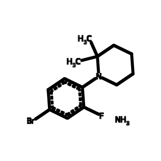 CC1(C)CCCCN1c1ccc(Br)cc1F.N